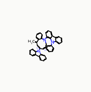 C=C1/C=C(n2c3ccccc3c3ccccc32)\C=C/CN(c2cccc3c4ccccc4n(-c4ccccc4)c23)c2ccccc21